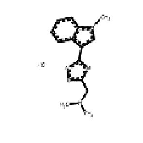 CN(C)Cc1nc(-c2cn(C)c3ccccc23)no1.Cl